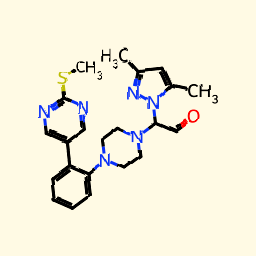 CSc1ncc(-c2ccccc2N2CCN(C(C=O)n3nc(C)cc3C)CC2)cn1